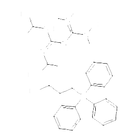 CC(C)N=C(NC(N(C)C)=[N+](C)C)NC(C)C.CCCC[B-](c1ccccc1)(c1ccccc1)c1ccccc1